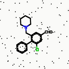 O=Cc1cc(Cl)c(-c2ccccc2)c(CN2CCCCC2)c1